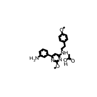 CC(=O)O.COc1ccc(CCNc2cc(-c3cccc(N)c3)nc(OC)n2)cc1